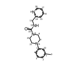 Cc1cccc(N2CCN(C(=O)NCc3ccccn3)CC2)c1